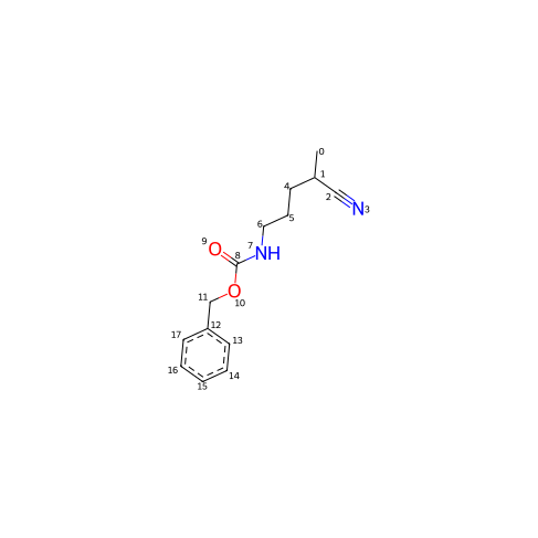 CC(C#N)CCCNC(=O)OCc1ccccc1